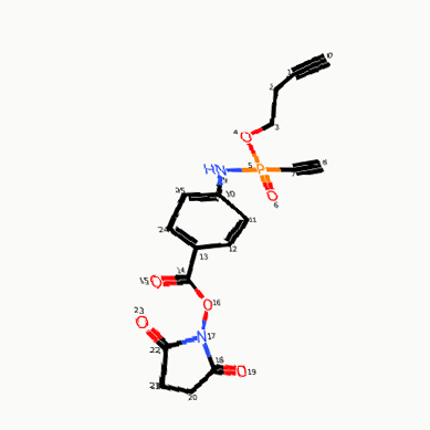 C#CCCOP(=O)(C#C)Nc1ccc(C(=O)ON2C(=O)CCC2=O)cc1